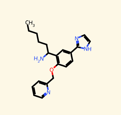 CCCCCC(N)c1cc(-c2ncc[nH]2)ccc1OCc1ccccn1